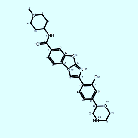 CN1CCC(NC(=O)c2ccc3c(c2)sc2nc(-c4ccc(C5CNCCO5)cc4F)cn23)CC1